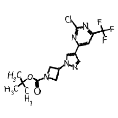 CC(C)(C)OC(=O)N1CC(n2cc(-c3cc(C(F)(F)F)nc(Cl)n3)cn2)C1